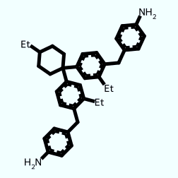 CCc1cc(C2(c3ccc(Cc4ccc(N)cc4)c(CC)c3)CCC(CC)CC2)ccc1Cc1ccc(N)cc1